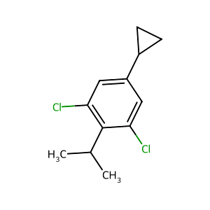 CC(C)c1c(Cl)cc(C2CC2)cc1Cl